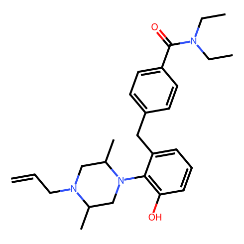 C=CCN1CC(C)N(c2c(O)cccc2Cc2ccc(C(=O)N(CC)CC)cc2)CC1C